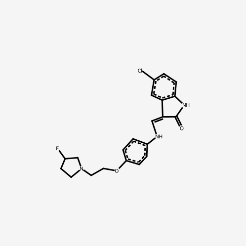 O=C1Nc2ccc(Cl)cc2C1=CNc1ccc(OCCN2CCC(F)C2)cc1